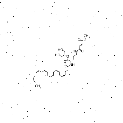 CC/C=C\C/C=C\C/C=C\C/C=C\C/C=C\C/C=C\CCC(=O)N[C@@H](CCCNC(=O)/C=C/C(=O)OC)C(=O)OC(CO)CO